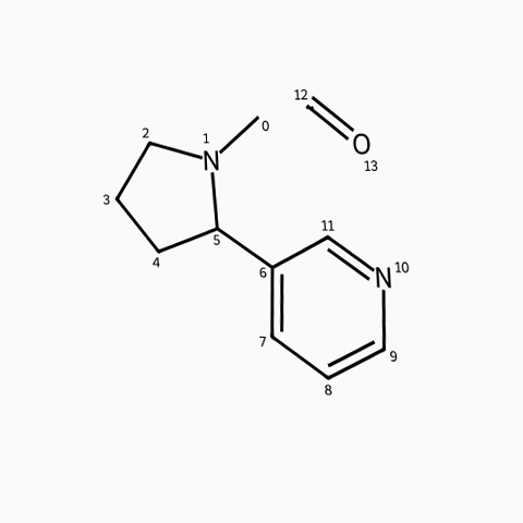 CN1CCCC1c1cccnc1.[C]=O